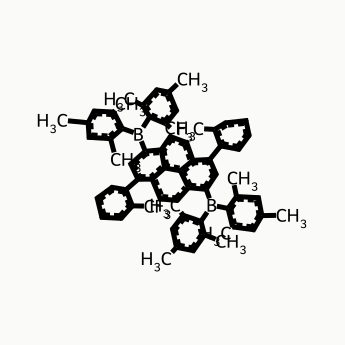 Cc1cc(C)c(B(c2c(C)cc(C)cc2C)c2cc(-c3ccccc3C(F)(F)F)c3ccc4c(B(c5c(C)cc(C)cc5C)c5c(C)cc(C)cc5C)cc(-c5ccccc5C(F)(F)F)c5ccc2c3c45)c(C)c1